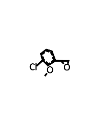 COc1c(Cl)cccc1C1CO1